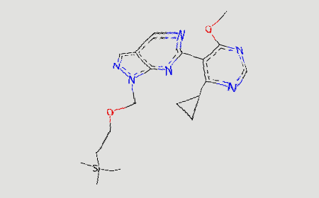 COc1ncnc(C2CC2)c1-c1ncc2cnn(COCC[Si](C)(C)C)c2n1